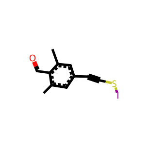 Cc1cc(C#CSI)cc(C)c1C=O